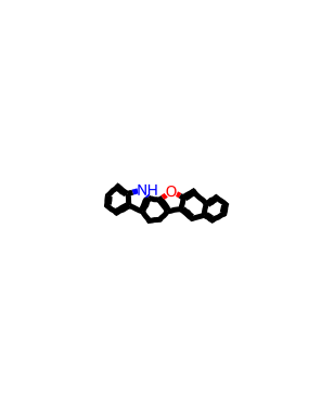 c1ccc2cc3c4c(oc3cc2c1)-c1[nH]c2ccccc2c1CC4